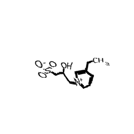 CCc1ccc[n+](CC(O)CS(=O)(=O)[O-])c1